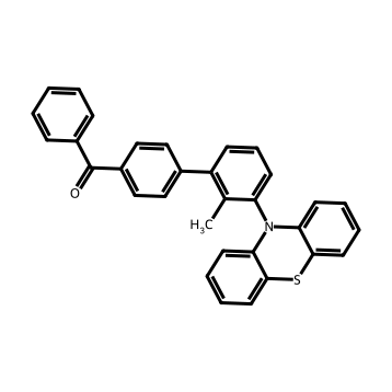 Cc1c(-c2ccc(C(=O)c3ccccc3)cc2)cccc1N1c2ccccc2Sc2ccccc21